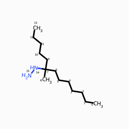 CCCCCCCC(C)(CCCCC)NN